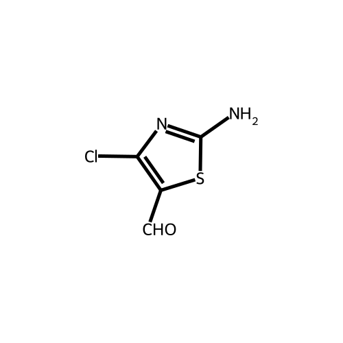 Nc1nc(Cl)c(C=O)s1